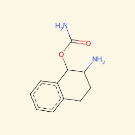 NC(=O)OC1c2ccccc2CCC1N